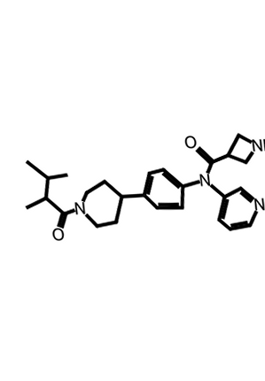 CC(C)C(C)C(=O)N1CCC(c2ccc(N(C(=O)C3CNC3)c3cccnc3)cc2)CC1